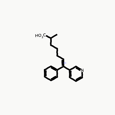 CC(CCC/C=C(\c1ccccc1)c1cccnc1)C(=O)O